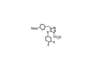 CCOC(=O)c1nnn(Cc2ccc(OC)cc2)c1Sc1ccc(F)c(F)c1